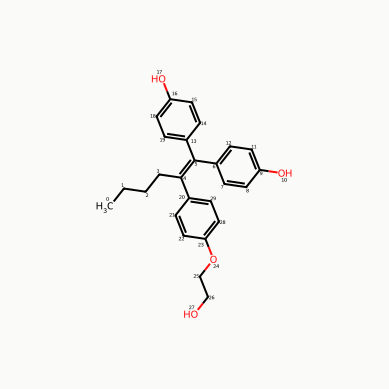 CCCCC(=C(c1ccc(O)cc1)c1ccc(O)cc1)c1ccc(OCCO)cc1